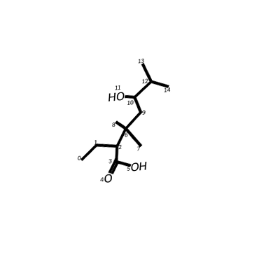 CCC(C(=O)O)C(C)(C)CC(O)C(C)C